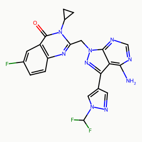 Nc1ncnc2c1c(-c1cnn(C(F)F)c1)nn2Cc1nc2ccc(F)cc2c(=O)n1C1CC1